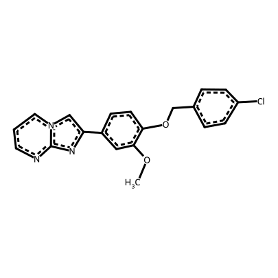 COc1cc(-c2cn3cccnc3n2)ccc1OCc1ccc(Cl)cc1